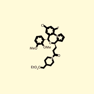 CCOC(=O)CC1CCN(C(=O)CC[C@H]2O[C@H](c3cccc(OC)c3OC)c3cc(Cl)cc(F)c3-n3cccc32)CC1